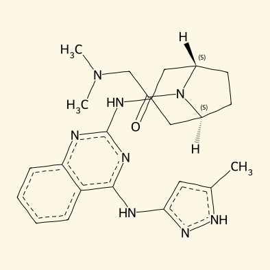 Cc1cc(Nc2nc(NC3C[C@@H]4CC[C@@H](C3)N4C(=O)CN(C)C)nc3ccccc23)n[nH]1